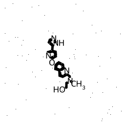 CN(CCO)Cc1ccc2cc(Oc3ccc(-c4ccn[nH]4)cn3)ccc2n1